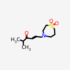 CC(C)C(=O)/C=C/CN1CCCS(=O)(=O)CC1